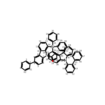 c1ccc(-c2ccc3c(c2)c2cccc([Si](c4ccccc4)(c4ccccc4)c4ccccc4)c2n3-c2ccc3c(c2)c2ccccc2n3-c2ccccc2-c2ccccc2)cc1